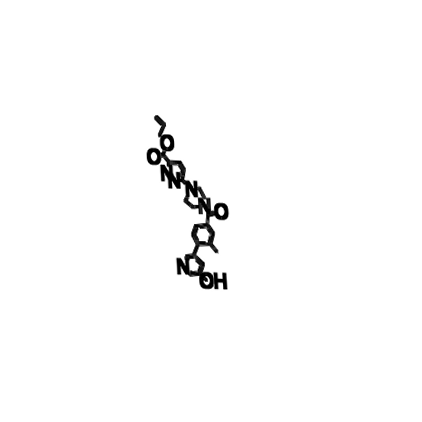 C=CCOC(=O)c1ccc(N2CCN(C(=O)c3ccc(-c4cncc(O)c4)c(C)c3)CC2)nn1